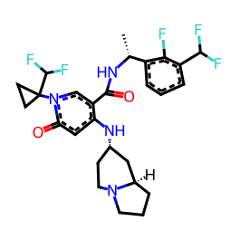 C[C@@H](NC(=O)c1cn(C2(C(F)F)CC2)c(=O)cc1N[C@H]1CCN2CCC[C@@H]2C1)c1cccc(C(F)F)c1F